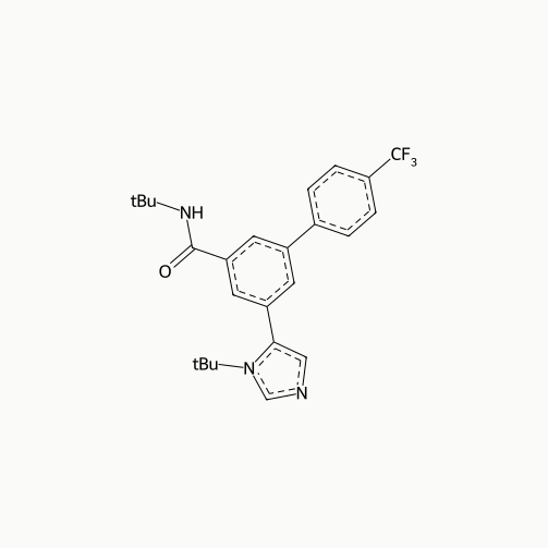 CC(C)(C)NC(=O)c1cc(-c2ccc(C(F)(F)F)cc2)cc(-c2cncn2C(C)(C)C)c1